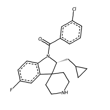 O=C(c1cccc(Cl)c1)N1c2ccc(F)cc2C2(CCNCC2)[C@H]1CC1CC1